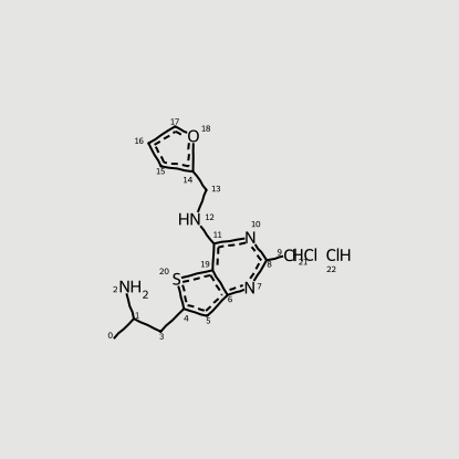 CC(N)Cc1cc2nc(Cl)nc(NCc3ccco3)c2s1.Cl.Cl